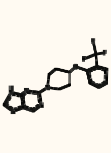 FC(F)(F)c1ccccc1OC1CCN(c2ncc3nc[nH]c3n2)CC1